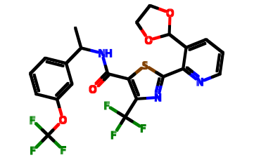 CC(NC(=O)c1sc(-c2ncccc2C2OCCO2)nc1C(F)(F)F)c1cccc(OC(F)(F)F)c1